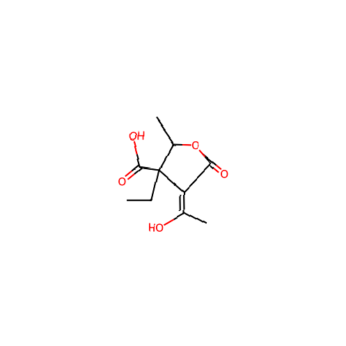 CCC1(C(=O)O)C(=C(C)O)C(=O)OC1C